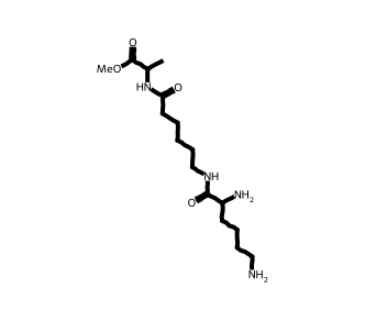 COC(=O)C(C)NC(=O)CCCCCNC(=O)C(N)CCCCN